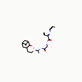 C=C/C(=N\C=C/C)C(=O)N[C@@H](C(=O)NC(CC)B1CCC2CC3CC(C3(C)C)[C@@]2(C)O1)C(C)C